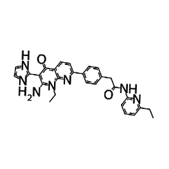 CCc1cccc(NC(=O)Cc2ccc(-c3ccc4c(=O)c(-c5ncc[nH]5)c(N)n(CC)c4n3)cc2)n1